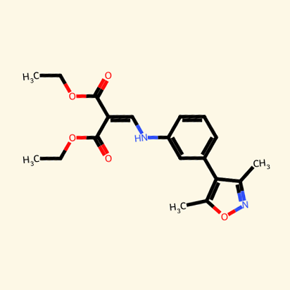 CCOC(=O)C(=CNc1cccc(-c2c(C)noc2C)c1)C(=O)OCC